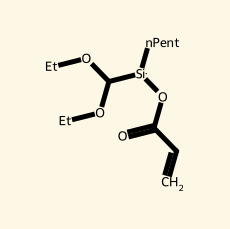 C=CC(=O)O[Si](CCCCC)C(OCC)OCC